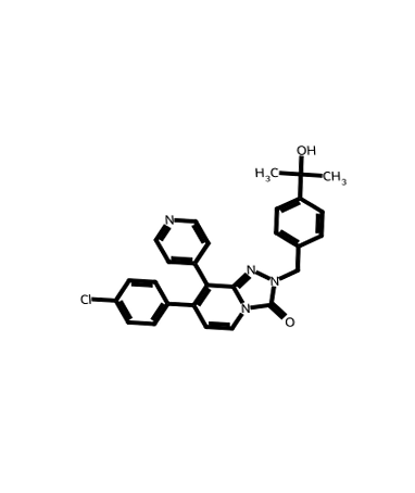 CC(C)(O)c1ccc(Cn2nc3c(-c4ccncc4)c(-c4ccc(Cl)cc4)ccn3c2=O)cc1